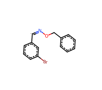 Brc1cccc(/[C]=N\OCc2ccccc2)c1